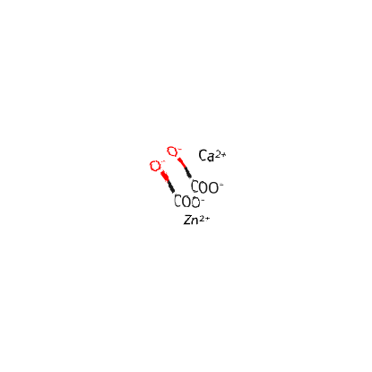 O=C([O-])[O-].O=C([O-])[O-].[Ca+2].[Zn+2]